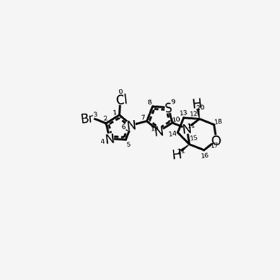 Clc1c(Br)ncn1-c1csc(N2[C@@H]3CC[C@H]2COC3)n1